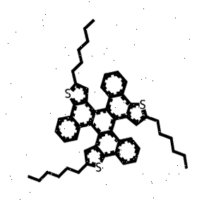 CCCCCCc1cc2c(s1)c1ccccc1c1c2c2c3ccccc3c3sc(CCCCCC)cc3c2c2c3ccccc3c3sc(CCCCCC)cc3c12